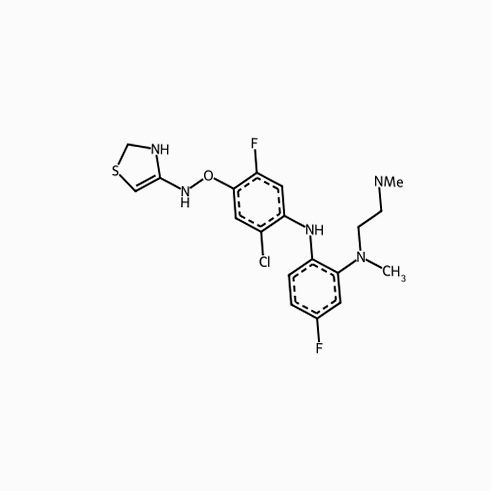 CNCCN(C)c1cc(F)ccc1Nc1cc(F)c(ONC2=CSCN2)cc1Cl